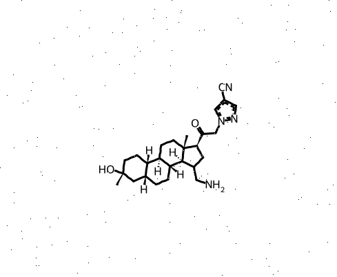 C[C@@]1(O)CC[C@H]2[C@H](CC[C@@H]3[C@@H]2CC[C@]2(C)[C@@H](C(=O)Cn4cc(C#N)cn4)CC(CN)[C@@H]32)C1